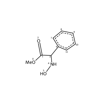 COC(=O)C(NO)c1ccccc1